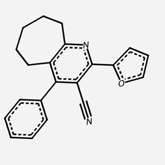 N#Cc1c(-c2ccco2)nc2c(c1-c1ccccc1)CCCCC2